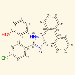 Oc1ccccc1-c1cc(Cl)ccc1-c1nc2c3ccccc3c3ccccc3c2[nH]1